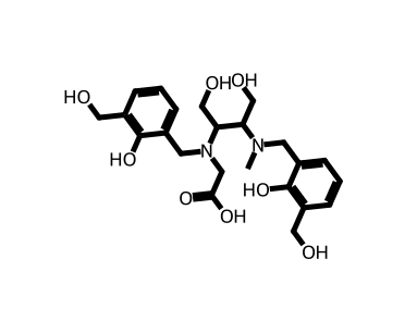 CN(Cc1cccc(CO)c1O)C(CO)C(CO)N(CC(=O)O)Cc1cccc(CO)c1O